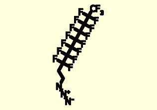 [N-]=[N+]=NCCC(F)(F)C(F)(F)C(F)(F)C(F)(F)C(F)(F)C(F)(F)C(F)(F)C(F)(F)F